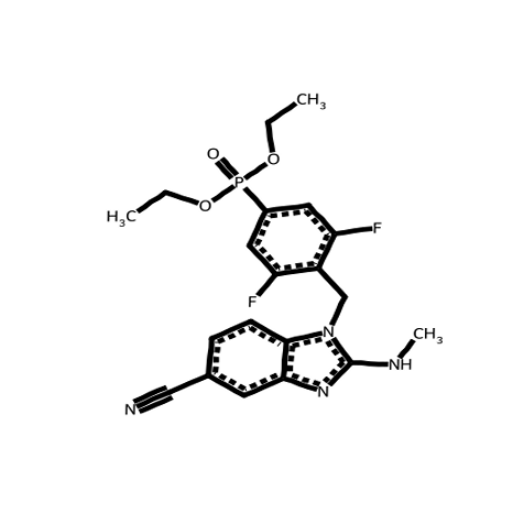 CCOP(=O)(OCC)c1cc(F)c(Cn2c(NC)nc3cc(C#N)ccc32)c(F)c1